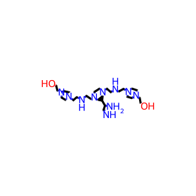 N=CC(N)C1C2=C1N(CCNCCN1CCN(CCO)CC1)CCN2CCNCCN1CCN(CCO)CC1